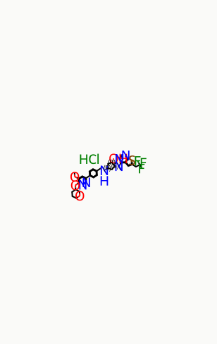 COc1cc(-c2ccc(CN[C@H]3C[C@@H](O)[C@@H](N(C)c4ncnc5sc(CC(F)(F)F)cc45)C3)cc2)nnc1OC1CCCOC1.Cl